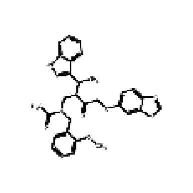 COc1ccccc1CN(CC(C(=O)COc1ccc2ncsc2c1)C(N)c1c[nH]c2ccccc12)C(C)=O